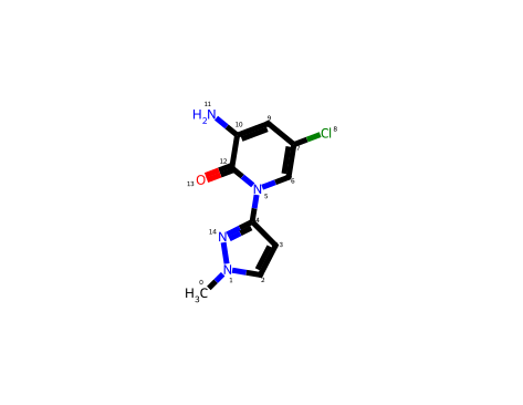 Cn1ccc(-n2cc(Cl)cc(N)c2=O)n1